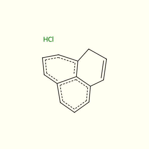 C1=Cc2cccc3cccc(c23)C1.Cl